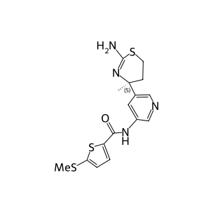 CSc1ccc(C(=O)Nc2cncc([C@]3(C)CCSC(N)=N3)c2)s1